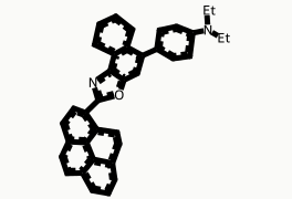 CCN(CC)c1ccc(-c2cc3oc(-c4ccc5ccc6cccc7ccc4c5c67)nc3c3ccccc23)cc1